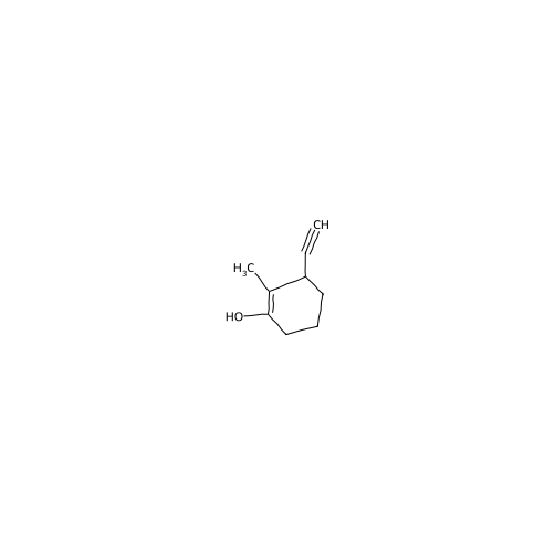 C#CC1CCCC(O)=C1C